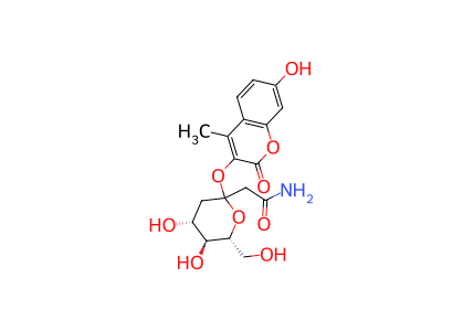 Cc1c(OC2(CC(N)=O)C[C@@H](O)[C@H](O)[C@@H](CO)O2)c(=O)oc2cc(O)ccc12